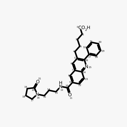 O=C(O)CCCCc1cc2cc(C(=O)NCCCN3CCCC3=O)ccc2nc1-c1ccccc1